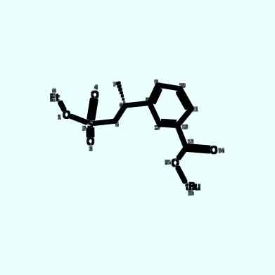 CCOS(=O)(=O)C[C@H](C)c1cccc(C(=O)OC(C)(C)C)c1